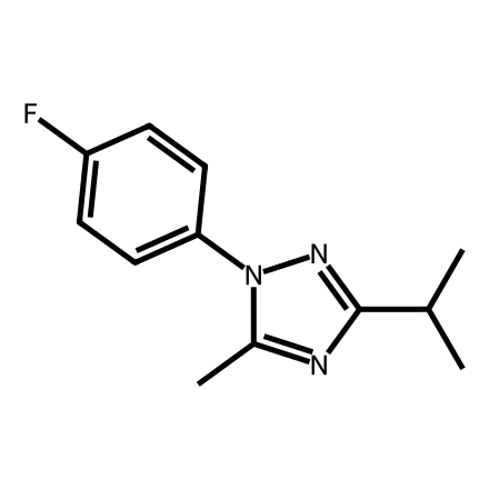 Cc1nc(C(C)C)nn1-c1ccc(F)cc1